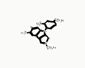 CCOC(=O)N1Cc2c(n(-c3ccc(C(=O)O)cc3[N+](=O)[O-])c3ccc(C)cc23)C1